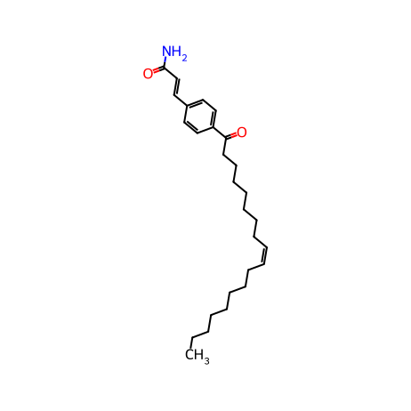 CCCCCCCC/C=C\CCCCCCCC(=O)c1ccc(C=CC(N)=O)cc1